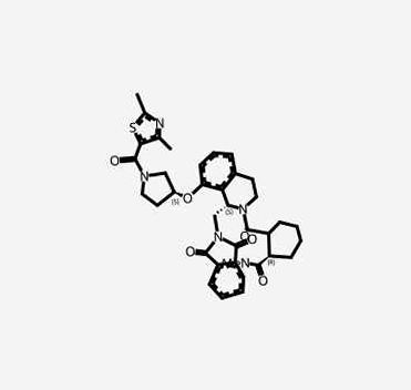 CNC(=O)[C@@H]1CCCCC1C(=O)N1CCc2cccc(O[C@H]3CCN(C(=O)c4sc(C)nc4C)C3)c2[C@H]1CN1C(=O)c2ccccc2C1=O